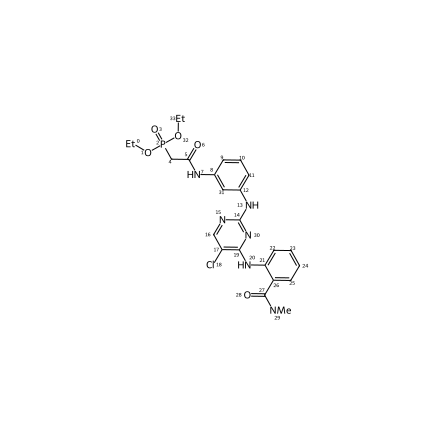 CCOP(=O)(CC(=O)Nc1cccc(Nc2ncc(Cl)c(Nc3ccccc3C(=O)NC)n2)c1)OCC